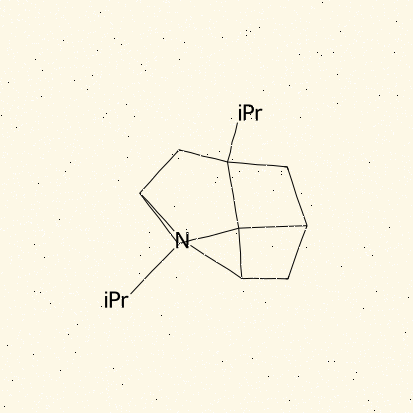 CC(C)N1C2CC3(C(C)C)CC4CC1C43C2